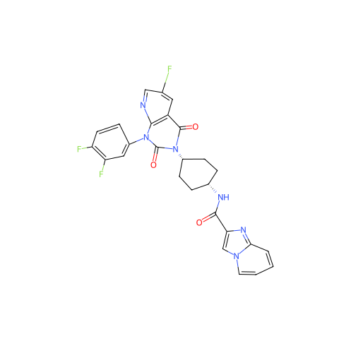 O=C(N[C@H]1CC[C@@H](n2c(=O)c3cc(F)cnc3n(-c3ccc(F)c(F)c3)c2=O)CC1)c1cn2ccccc2n1